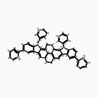 c1ccc(-c2ccc3c(c2)c2cc4c5c(c2n3-c2cccnc2)CCc2c-5c(cc3c5cc(-c6ccccn6)ccc5n(-c5cccnc5)c23)CC4)nc1